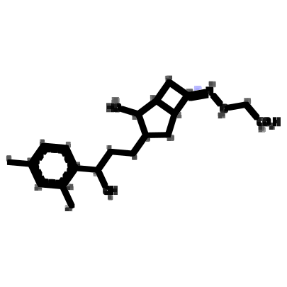 Cc1ccc(C(O)CCC2CC3/C(=N\OCC(=O)O)CC3C2O)c(C)c1